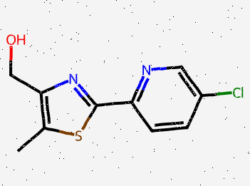 Cc1sc(-c2ccc(Cl)cn2)nc1CO